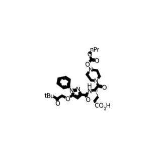 CCCOC(=O)ON1CCN(C(=O)[C@H](CCC(=O)O)NC(=O)c2cc(OCC(=O)C(C)(C)C)n(-c3ccccc3)n2)CC1